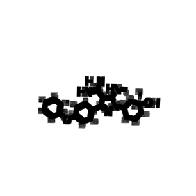 CNc1c(C(=N)N)c(-c2ccc(Oc3ccccc3)cc2)nn1C1CCC[C@](C)(O)C1